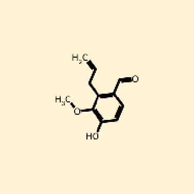 C=CCc1c(C=O)ccc(O)c1OC